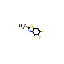 Cc1nc2c(F)c(F)c(F)cc2s1